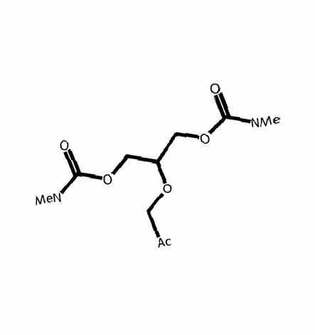 CNC(=O)OCC(COC(=O)NC)OCC(C)=O